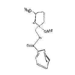 COC1CCC(CNC(=O)c2ccccc2)(OC)O1